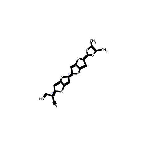 CC1=C(C)SC(=c2cc3s/c(=c4\cc5s/c(=C(\C#N)C=N)cc5s4)cc3s2)S1